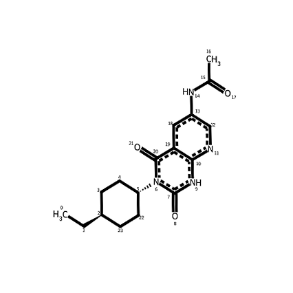 CC[C@H]1CC[C@H](n2c(=O)[nH]c3ncc(NC(C)=O)cc3c2=O)CC1